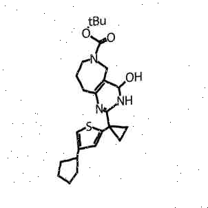 CC(C)(C)OC(=O)N1CCCC2=C(C1)C(O)NC(C1(c3cc(C4CCCC4)cs3)CC1)=N2